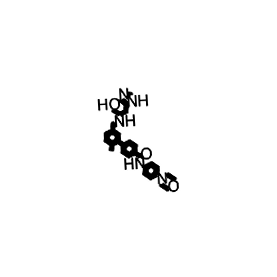 Cc1ccc(CNC(CO)Cc2cnc[nH]2)cc1-c1ccc(C(=O)Nc2ccc(N3CCOCC3)cc2)cc1